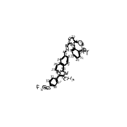 Cc1nc2c3ccc(C=NN=C4SCC(=O)N4c4ccccc4C(C)C)cc3ccn2c1-c1ccc(OC(F)(F)F)cc1